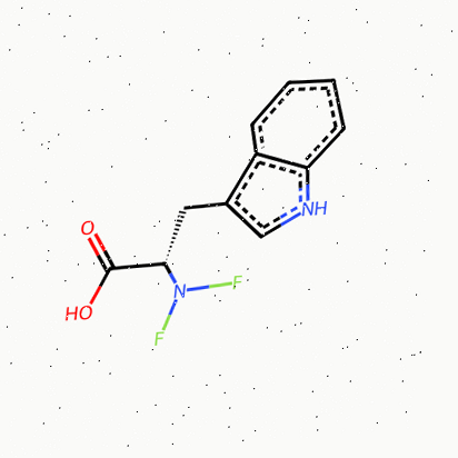 O=C(O)[C@H](Cc1c[nH]c2ccccc12)N(F)F